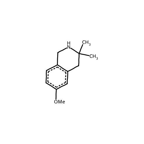 COc1ccc2c(c1)CC(C)(C)NC2